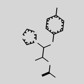 C=C(CC)OC(C(Oc1ccc(Cl)cc1)n1cncn1)C(C)(C)C